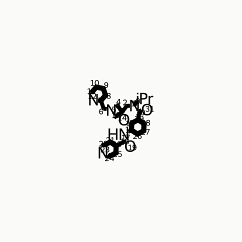 CC(C)N1CC2(CN(Cc3ccccn3)C2)Oc2c(NC(=O)c3ccncc3)cccc2C1=O